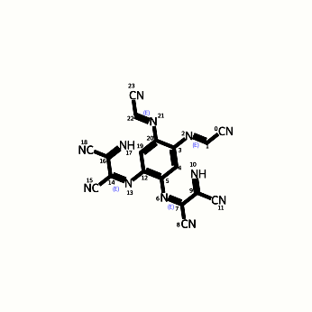 N#C/C=N/c1cc(/N=C(/C#N)C(=N)C#N)c(/N=C(/C#N)C(=N)C#N)cc1/N=C/C#N